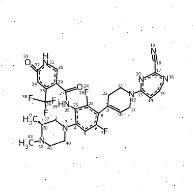 C[C@H]1CN(c2cc(F)c(C3=CCN(c4ccnc(C#N)n4)CC3)c(F)c2NC(=O)c2c[nH]c(=O)cc2C(F)(F)F)CCN1C